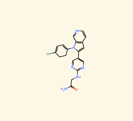 NC(=O)CNc1ncc(-c2cc3ccncc3n2C2=CC=C(Cl)CC2)cn1